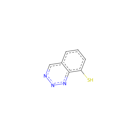 Sc1cccc2cnnnc12